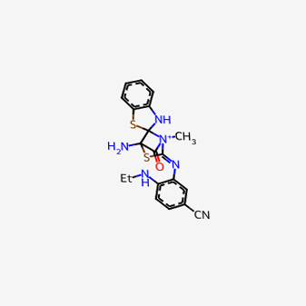 CCNc1ccc(C#N)cc1N=C1SC2(N)C(=O)[N+]1(C)C21Nc2ccccc2S1